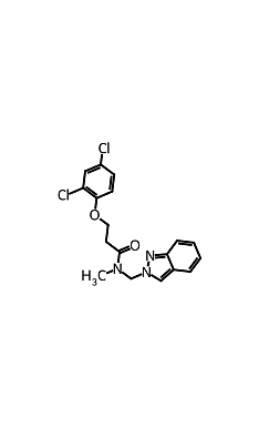 CN(Cn1cc2ccccc2n1)C(=O)CCOc1ccc(Cl)cc1Cl